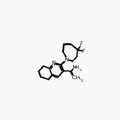 C=C(N)c1cc2c(nc1N1CCCC(F)(F)CC1)CCCC2